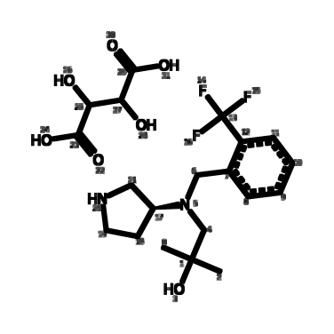 CC(C)(O)CN(Cc1ccccc1C(F)(F)F)[C@H]1CCNC1.O=C(O)C(O)C(O)C(=O)O